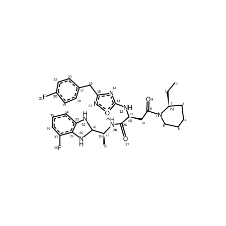 CC[C@H]1CCCCN1C(=O)C[C@H](Nc1nc(Cc2ccc(F)cc2)no1)C(=O)N[C@@H](C)C1Nc2cccc(F)c2N1